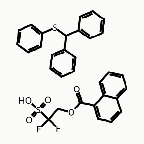 O=C(OCC(F)(F)S(=O)(=O)O)c1cccc2ccccc12.c1ccc(SC(c2ccccc2)c2ccccc2)cc1